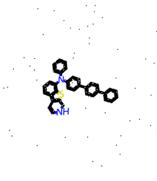 C1=Cc2c(sc3c(N(c4ccccc4)c4ccc(-c5ccc(-c6ccccc6)cc5)cc4)cccc23)CN1